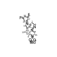 CC1CN(c2nccc3c2c(C2CC2)cn3-c2cc(F)cc(F)c2)CCN1C(=O)OC(C)(C)C